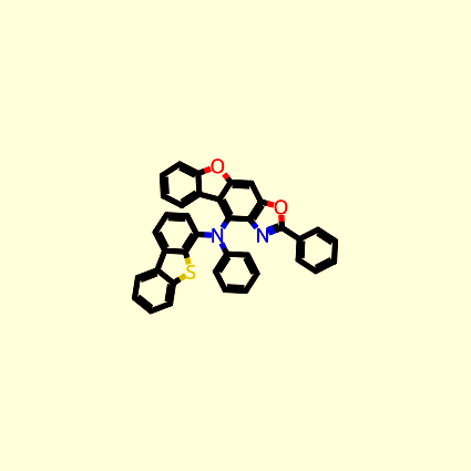 c1ccc(-c2nc3c(N(c4ccccc4)c4cccc5c4sc4ccccc45)c4c(cc3o2)oc2ccccc24)cc1